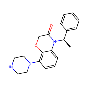 C[C@H](c1ccccc1)N1C(=O)COc2c(N3CCNCC3)cccc21